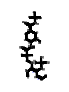 C=N/C(OCC(C)(C)C(=O)N[C@@H]1CCN(C(=O)OC(C)(C)C)C[C@H]1C)=C(\C=C/C)OC(F)(F)F